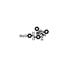 COc1ccc(NC(=O)c2ccc(Nc3nc4ccccc4nc3NS(=O)(=O)c3ccccc3)cc2)cc1